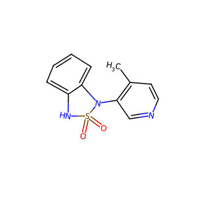 Cc1ccncc1N1c2ccccc2NS1(=O)=O